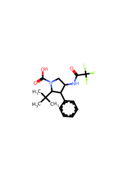 CC(C)(C)C1C(c2ccccc2)C(NC(=O)C(F)(F)F)CN1C(=O)O